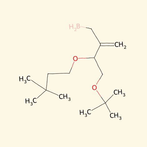 BCC(=C)C(COC(C)(C)C)OCCC(C)(C)C